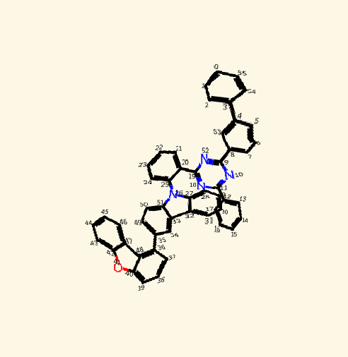 c1ccc(-c2cccc(-c3nc(-c4ccccc4)nc(-c4ccccc4-n4c5ccccc5c5cc(-c6cccc7oc8ccccc8c67)ccc54)n3)c2)cc1